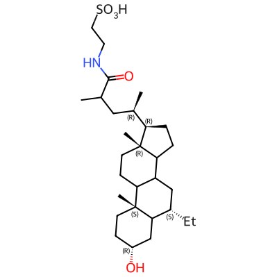 CC[C@H]1CC2C(CC[C@@]3(C)C2CC[C@@H]3[C@H](C)CC(C)C(=O)NCCS(=O)(=O)O)[C@@]2(C)CC[C@@H](O)CC12